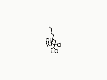 CCCCCCC(Cl)(Cl)C1CCCO1.CCO